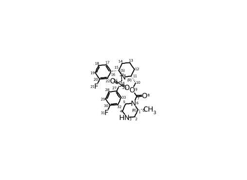 C[C@@H]1CNCCN1C(=O)OC[C@H]1CCC[C@@H](c2cccc(F)c2)N1S(=O)(=O)c1ccc(F)cc1